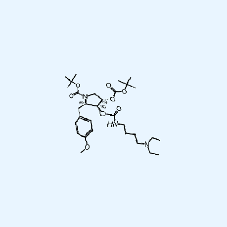 CCN(CC)CCCCNC(=O)O[C@@H]1[C@@H](OC(=O)OC(C)(C)C)CN(C(=O)OC(C)(C)C)[C@@H]1Cc1ccc(OC)cc1